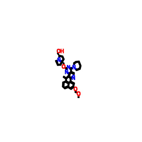 COCOc1cc2c3c(cccc3c1)C(C)c1c-2ncc2c(N3CCCCCC3)nc(OC[C@]34CCCN3[C@@H](CO)CC4)nc12